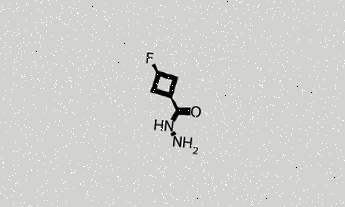 NNC(=O)[C@H]1C[C@@H](F)C1